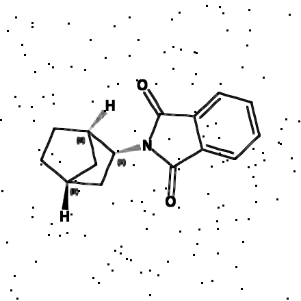 O=C1c2ccccc2C(=O)N1[C@@H]1C[C@@H]2CC[C@@H]1C2